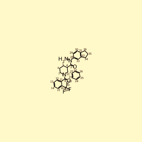 NN(C(=O)C1CCCN(C(=O)c2ccccc2C(F)(F)F)[C@H]1c1ccccc1)c1ccc2c(c1)CCC2